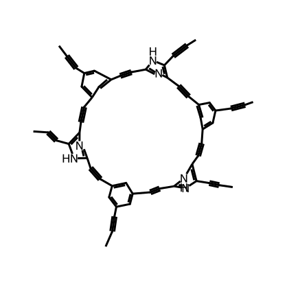 CC#Cc1cc2cc(c1)C#Cc1nc(C#CC)c([nH]1)C#Cc1cc(C#CC)cc(c1)C#Cc1nc([nH]c1C#CC)C#Cc1cc(C#CC)cc(c1)C#Cc1nc([nH]c1C#CC)C#C2